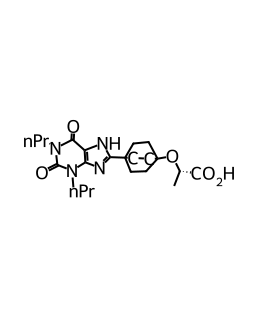 CCCn1c(=O)c2[nH]c(C34CCC(O[C@@H](C)C(=O)O)(CC3)CC4)nc2n(CCC)c1=O